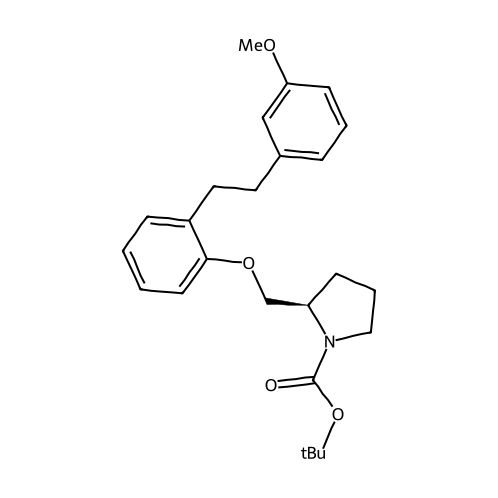 COc1cccc(CCc2ccccc2OC[C@H]2CCCN2C(=O)OC(C)(C)C)c1